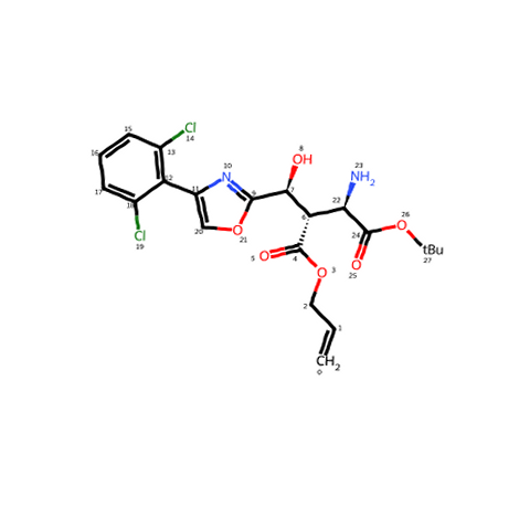 C=CCOC(=O)[C@H]([C@H](O)c1nc(-c2c(Cl)cccc2Cl)co1)[C@@H](N)C(=O)OC(C)(C)C